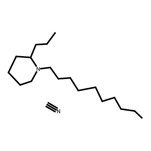 C#N.CCCCCCCCCCN1CCCCC1CCC